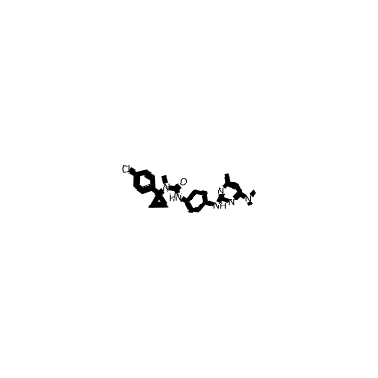 Cc1cc(N(C)C)nc(NC2CCC(NC(=O)N(C)C3(c4ccc(Cl)cc4)CC3)CC2)n1